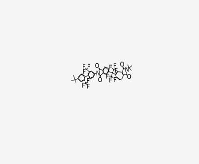 CC(C)(C)c1ccc(-c2ccc(N3C(=O)c4ccc(C(C5=CC6=C(CC=C5)C(=O)N(C(C)(C)C)C6=O)(C(F)(F)F)C(F)(F)F)cc4C3=O)cc2C(F)(F)F)c(C(F)(F)F)c1